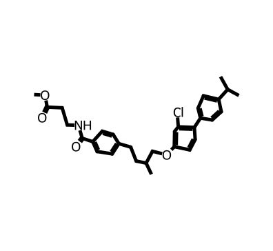 COC(=O)CCNC(=O)c1ccc(CCC(C)COc2ccc(-c3ccc(C(C)C)cc3)c(Cl)c2)cc1